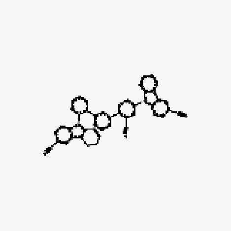 N#Cc1ccc2c(c1)c1c(n2-c2ccccc2-c2cccc(-c3ccc(-n4c5ccccc5c5cc(C#N)ccc54)cc3C#N)c2)C=CCC1